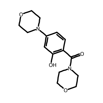 O=C(c1ccc(N2CCOCC2)cc1O)N1CCOCC1